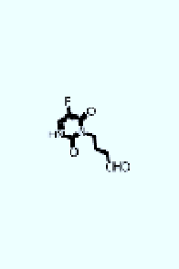 O=CCCCn1c(=O)[nH]cc(F)c1=O